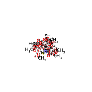 CC(=O)OC[C@H]1O[C@H](OCC(CO[C@H]2O[C@H](COC(C)=O)[C@@H](OC(C)=O)[C@H](OC(C)=O)[C@@H]2OC(C)=O)(CO[C@H]2O[C@H](COC(C)=O)[C@@H](OC(C)=O)[C@H](OC(C)=O)[C@@H]2OC(C)=O)N=C=S)[C@@H](OC(C)=O)[C@@H](OC(C)=O)[C@@H]1OC(C)=O